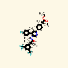 CCOC(=O)C(C)(C)[C@H]1CC[C@H](c2cc(-c3ccc(F)cc3C)c(N(C)C(=O)C(C)(C)c3cc(C(F)(F)F)cc(C(F)(F)F)c3)cn2)CC1